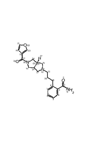 NC(=O)c1ccccc1[CH]CCN1CC2CN(C(=O)c3ccoc3)C[C@@H]2C1